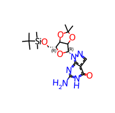 CC1(C)OC2C(O1)[C@@H](CO[Si](C)(C)C(C)(C)C)O[C@H]2n1ncc2c(=O)[nH]c(N)nc21